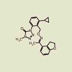 CC(=NOCc1c(C2CC2)cccc1-n1nnn(C)c1=O)c1cccc2c1CCO2